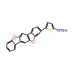 CCCCCCc1ccc(-c2ccc3c(c2)oc2cc4c(cc23)oc2ccccc24)s1